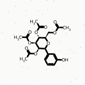 CC(=O)OC[C@H]1OC(c2cccc(O)c2)[C@@H](OC(C)=O)[C@@H](OC(C)=O)[C@@H]1OC(C)=O